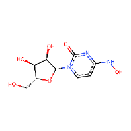 O=c1nc(NO)ccn1[C@@H]1O[C@H](CO)[C@@H](O)[C@H]1O